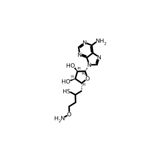 NOCCC(S)C[C@H]1O[C@@H](n2cnc3c(N)ncnc32)[C@H](O)[C@@H]1O